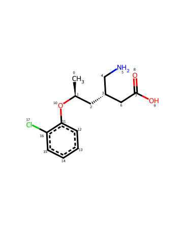 C[C@@H](C[C@H](CN)CC(=O)O)Oc1ccccc1Cl